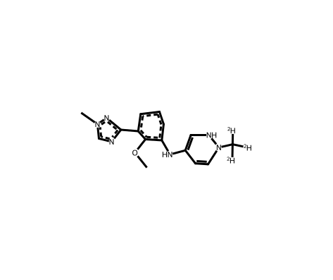 [2H]C([2H])([2H])N1C=CC(Nc2cccc(-c3ncn(C)n3)c2OC)=CN1